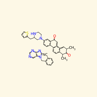 CC1C=c2c(ccc3c2=CC(=O)c2cc(N4CCNC(Cc5cccs5)C4)ccc2-3)C(C)C1=O.N#Cc1ccccc1Cn1cnc2ncncc21